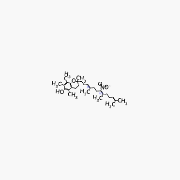 CC(C)=CCC/C(C)=C(/CC/C(C)=C/CCC1(C)CCc2c(C)c(O)c(C)c(C)c2O1)[N+](=O)[O-]